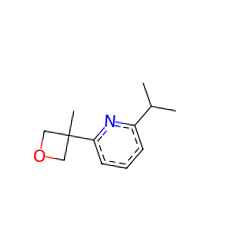 CC(C)c1cccc(C2(C)COC2)n1